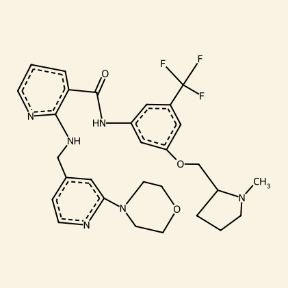 CN1CCCC1COc1cc(NC(=O)c2cccnc2NCc2ccnc(N3CCOCC3)c2)cc(C(F)(F)F)c1